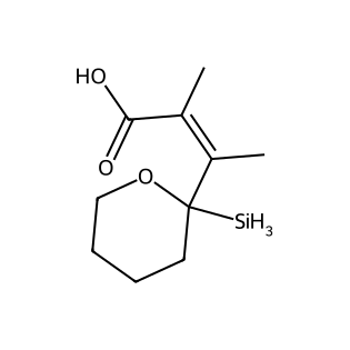 CC(C(=O)O)=C(C)C1([SiH3])CCCCO1